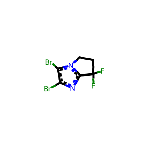 FC1(F)CCn2c1nc(Br)c2Br